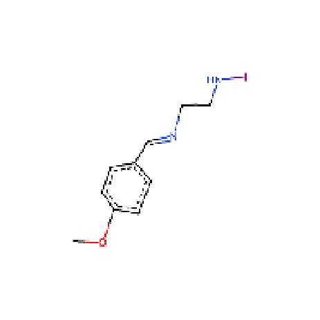 COc1ccc(/C=N/CCNI)cc1